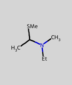 CCN(C)C(C)SC